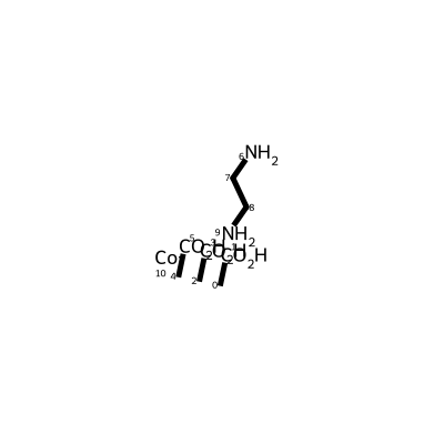 CC(=O)O.CC(=O)O.CC(=O)O.NCCN.[Co]